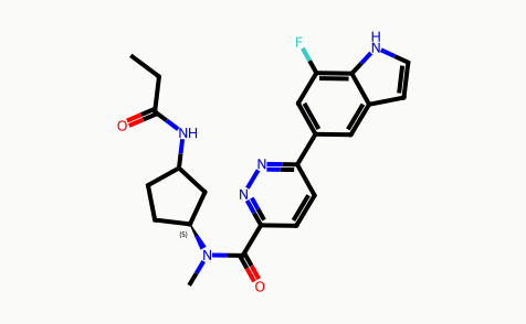 CCC(=O)NC1CC[C@H](N(C)C(=O)c2ccc(-c3cc(F)c4[nH]ccc4c3)nn2)C1